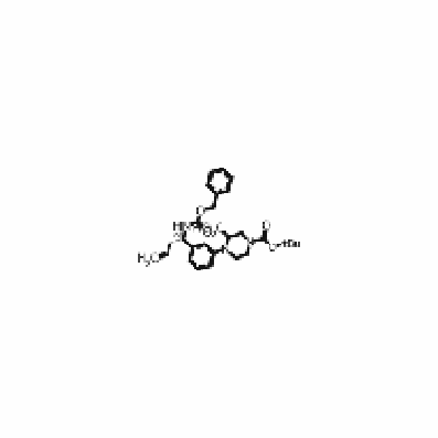 C=CC[C@H](NC(=O)OCc1ccccc1)c1cccc(N2CCN(C(=O)OC(C)(C)C)CC2C(=O)O)c1